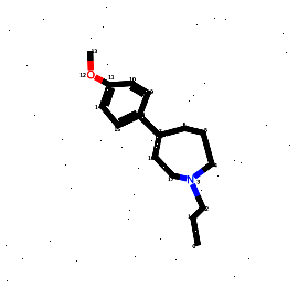 CCCN1CCCC(c2ccc(OC)cc2)CC1